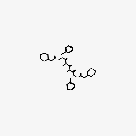 O=C(CC1CCCCC1)N[C@@H](Cc1ccccc1)C(=O)C(Cl)C(=O)C(Cl)C(=O)[C@H](Cc1ccccc1)NC(=O)CC1CCCCC1